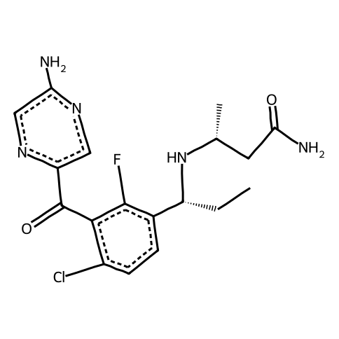 CC[C@@H](N[C@H](C)CC(N)=O)c1ccc(Cl)c(C(=O)c2cnc(N)cn2)c1F